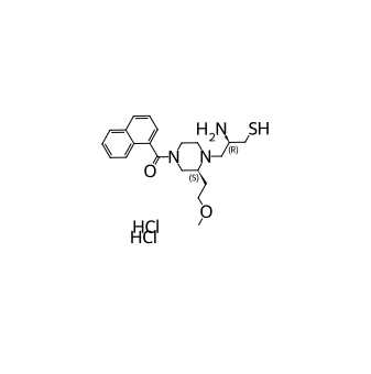 COCC[C@H]1CN(C(=O)c2cccc3ccccc23)CCN1C[C@@H](N)CS.Cl.Cl